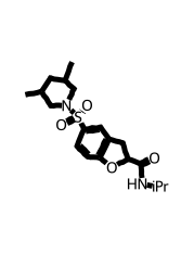 CC1CC(C)CN(S(=O)(=O)c2ccc3c(c2)CC(C(=O)NC(C)C)O3)C1